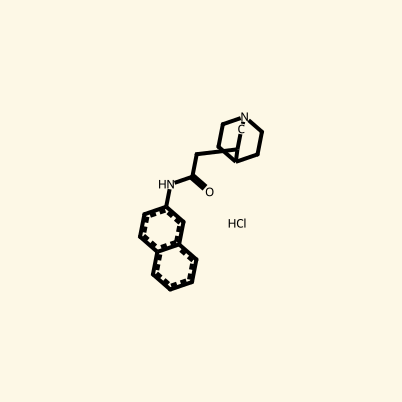 Cl.O=C(CC1CN2CCC1CC2)Nc1ccc2ccccc2c1